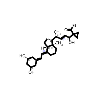 CCC(=O)C1([C@@H](O)/C=C/[C@@H](C)[C@H]2CC[C@H]3/C(=C/C=C4C[C@@H](O)C[C@H](O)C4)CCC[C@]23C)CC1